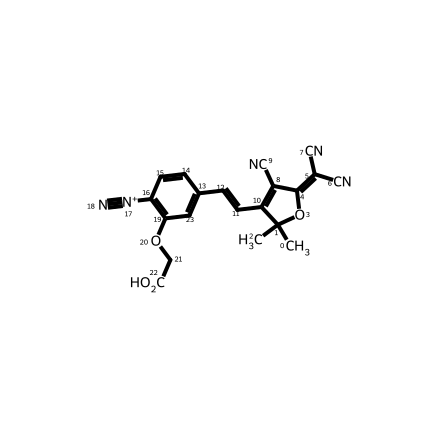 CC1(C)OC(=C(C#N)C#N)C(C#N)=C1/C=C/c1ccc([N+]#N)c(OCC(=O)O)c1